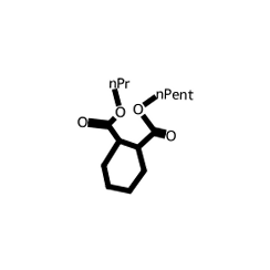 CCCCCOC(=O)C1CCCCC1C(=O)OCCC